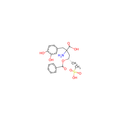 CS(=O)(=O)O.C[C@@H](CC(N)(Cc1ccc(O)c(O)c1)C(=O)O)OC(=O)c1ccccc1